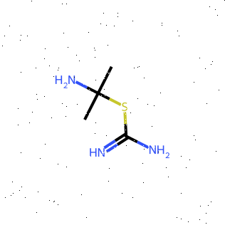 CC(C)(N)SC(=N)N